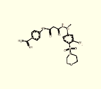 C[C@H](NC(=O)CC(=O)Nc1ccc(C(=N)N)cc1)c1ccc(S(=O)(=O)N2CCOCC2)c(C(F)(F)F)c1